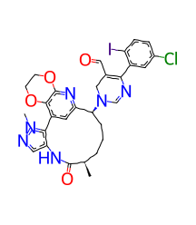 C[C@@H]1CCC[C@H](N2C=NC(c3cc(Cl)ccc3I)=C(C=O)C2)c2cc(c3c(n2)OCCO3)-c2c(cnn2C)NC1=O